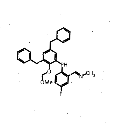 C/N=C/c1cc(F)ccc1Pc1cc(CC2C=CC=CC2)cc(Cc2ccccc2)c1OCOC